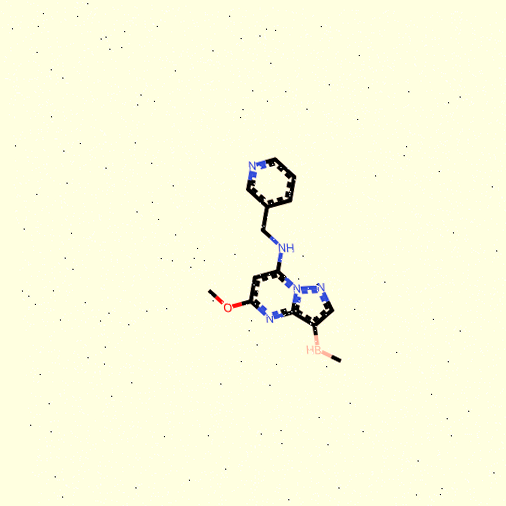 CBc1cnn2c(NCc3cccnc3)cc(OC)nc12